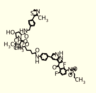 CCCS(=O)(=O)Nc1ccc(F)c(C(=O)c2c[nH]c3ncc(-c4ccc(NC(=O)CCCC(=O)NC(C(=O)N5C[C@H](O)C[C@H]5C(=O)NCc5ccc(-c6scnc6C)cc5)C(C)(C)C)cc4)cc23)c1F